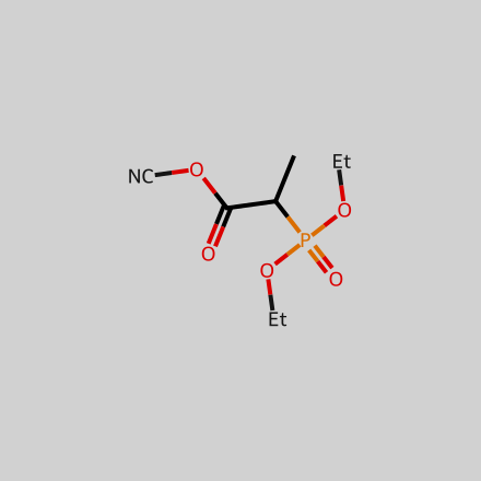 CCOP(=O)(OCC)C(C)C(=O)OC#N